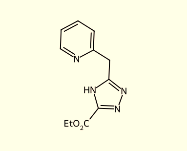 CCOC(=O)c1nnc(Cc2ccccn2)[nH]1